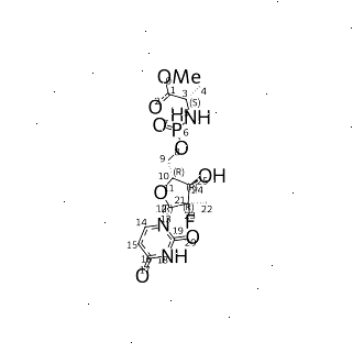 COC(=O)[C@H](C)N[PH](=O)OC[C@H]1O[C@@H](n2ccc(=O)[nH]c2=O)[C@](C)(F)[C@@H]1O